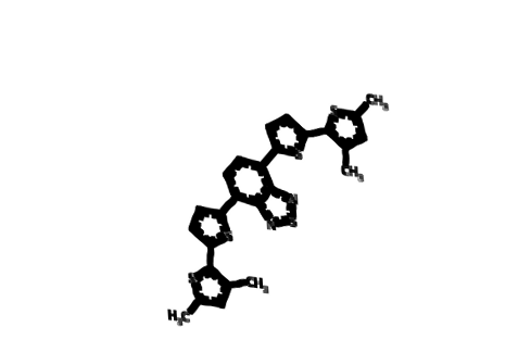 Cc1cc(C)c(-c2ccc(-c3ccc(-c4ccc(-c5sc(C)cc5C)s4)c4nsnc34)s2)s1